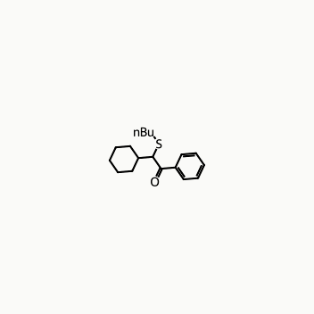 CCCCSC(C(=O)c1ccccc1)C1CCCCC1